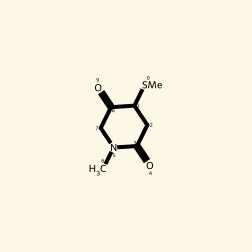 CSC1CC(=O)N(C)CC1=O